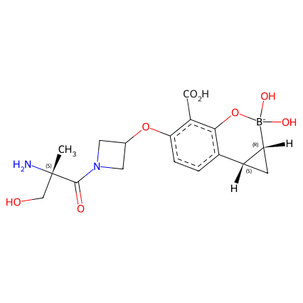 C[C@](N)(CO)C(=O)N1CC(Oc2ccc3c(c2C(=O)O)O[B-](O)(O)[C@@H]2C[C@H]32)C1